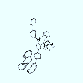 CC1(C)c2ccccc2N(C2=CC(C3C=CC=CC3)=CCC2)c2ccc(-c3ccc4c(c3)C3(c5ccccc5-c5ccccc53)c3ccccc3-4)cc21